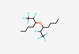 CCCCC(OC(CCCC)C(F)C(F)(F)F)C(F)C(F)(F)F